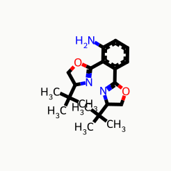 CC(C)(C)C1COC(c2cccc(N)c2C2=NC(C(C)(C)C)CO2)=N1